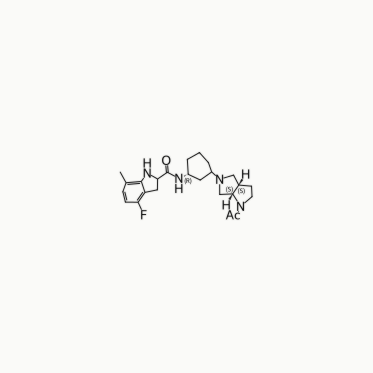 CC(=O)N1CC[C@H]2CN(C3CCC[C@@H](NC(=O)C4Cc5c(F)ccc(C)c5N4)C3)C[C@H]21